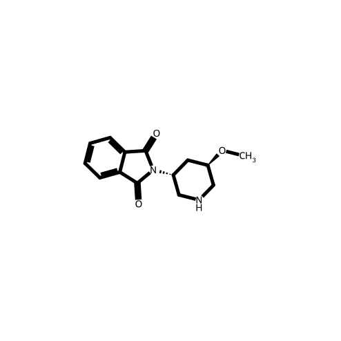 CO[C@H]1CNC[C@H](N2C(=O)c3ccccc3C2=O)C1